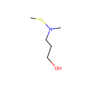 CSN(C)CCCO